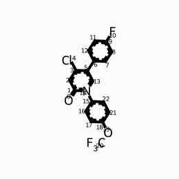 O=c1cc(Cl)c(-c2ccc(F)cc2)cn1-c1ccc(OC(F)(F)F)cc1